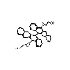 OCCOc1c2ccccc2c(-c2c3ccccc3c(OCCO)c3cc4ccccc4cc23)c2cc3ccccc3cc12